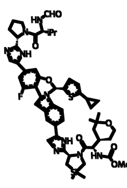 COC(=O)N[C@H](C(=O)N1C[Si](C)(C)C[C@H]1c1ncc(-c2ccc3c(c2)cc2n3[C@H](c3ccc(C4CC4)s3)Oc3cc(-c4cnc([C@@H]5CCCN5C(=O)[C@@H](NC=O)C(C)C)[nH]4)cc(F)c3-2)[nH]1)[C@@H]1CCOC(C)(C)C1